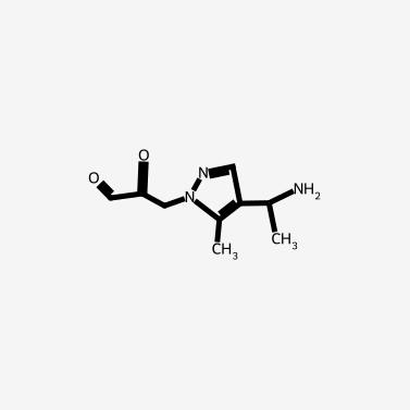 Cc1c(C(C)N)cnn1CC(=O)C=O